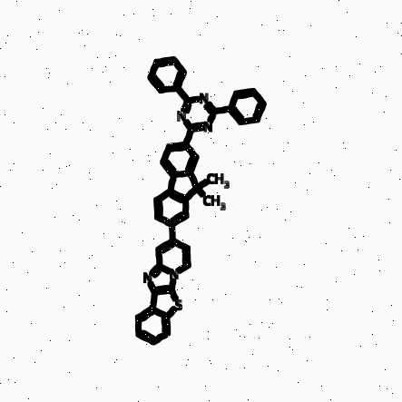 CC1(C)c2cc(-c3ccn4c(c3)nc3c5ccccc5sc34)ccc2-c2ccc(-c3nc(-c4ccccc4)nc(-c4ccccc4)n3)cc21